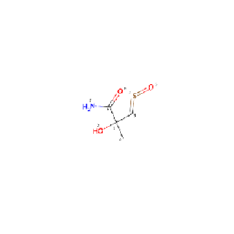 CC(O)(C=S=O)C(N)=O